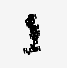 CC(=N)/N=C/COc1cc(F)c(-c2nc3cc(O[C@@H]4CO[C@H]5[C@@H]4OC[C@H]5O)[nH]c3cc2F)c(F)c1